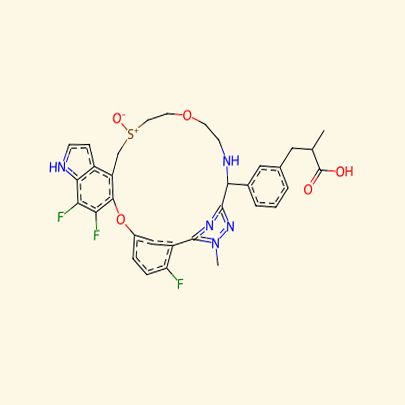 CC(Cc1cccc(C2NCCOCC[S+]([O-])Cc3c(c(F)c(F)c4[nH]ccc34)Oc3ccc(F)c(c3)-c3nc2nn3C)c1)C(=O)O